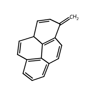 C=C1C=CC2C=Cc3cccc4ccc1c2c34